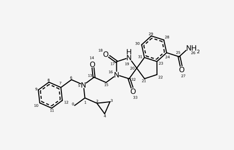 CC(C1CC1)N(Cc1ccccc1)C(=O)CN1C(=O)NC2(CCc3c(C(N)=O)cccc32)C1=O